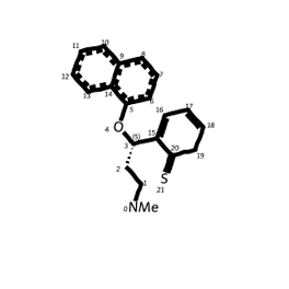 CNCC[C@H](Oc1cccc2ccccc12)C1=CC=CCC1=S